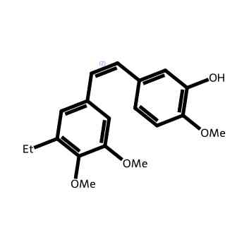 CCc1cc(/C=C\c2ccc(OC)c(O)c2)cc(OC)c1OC